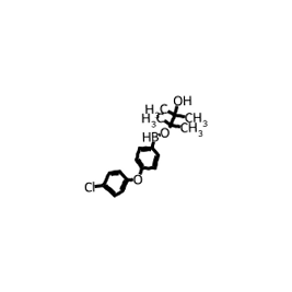 CC(C)(O)C(C)(C)OBc1ccc(Oc2ccc(Cl)cc2)cc1